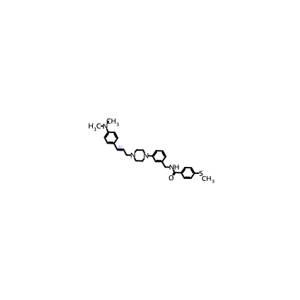 CSc1ccc(C(=O)NCc2cccc(N3CCN(C/C=C/c4ccc(N(C)C)cc4)CC3)c2)cc1